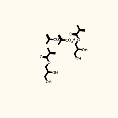 C=C(C)C(=O)O.C=C(C)C(=O)O.C=C(C)C(=O)OCC(O)CO.C=C(C)C(=O)OCC(O)CO